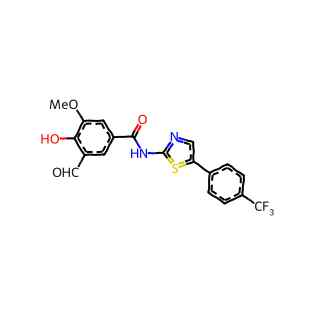 COc1cc(C(=O)Nc2ncc(-c3ccc(C(F)(F)F)cc3)s2)cc(C=O)c1O